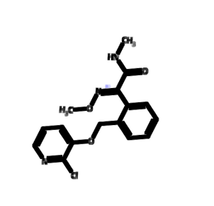 CNC(=O)/C(=N/OC)c1ccccc1COc1cccnc1Cl